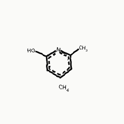 C.Cc1cccc(O)n1